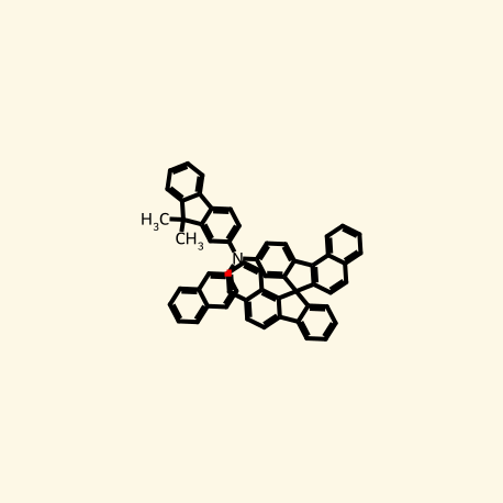 CC1(C)c2ccccc2-c2ccc(N(c3ccc4c(c3)C3(c5ccccc5-c5ccc6ccccc6c53)c3ccc5ccccc5c3-4)c3ccc4ccccc4c3)cc21